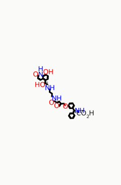 O=C(O)N[C@@H](c1ccccc1)c1cccc(OCc2coc(C(=O)NCCCCNC[C@H](O)c3ccc(O)c4[nH]c(=O)ccc34)c2)c1